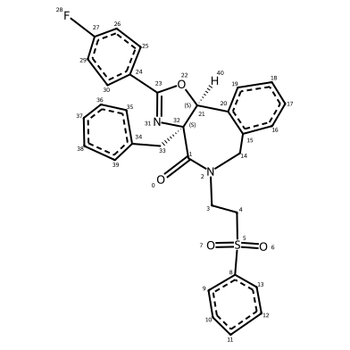 O=C1N(CCS(=O)(=O)c2ccccc2)Cc2ccccc2[C@@H]2OC(c3ccc(F)cc3)=N[C@]12Cc1ccccc1